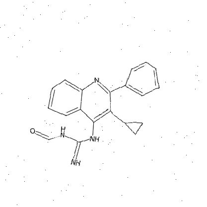 N=C(NC=O)Nc1c(C2CC2)c(-c2ccccc2)nc2ccccc12